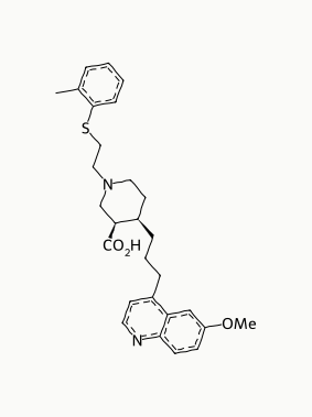 COc1ccc2nccc(CCC[C@@H]3CCN(CCSc4ccccc4C)C[C@@H]3C(=O)O)c2c1